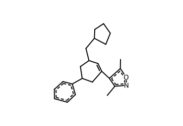 Cc1noc(C)c1C1=CC(CC2CCCC2)CC(c2ccccc2)C1